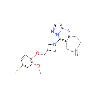 COc1cc(F)ccc1OCC1CN(c2c3c(nc4ccnn24)CCNCC3)C1